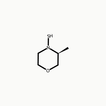 C[C@H]1COCCN1S